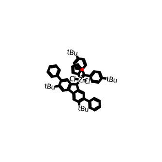 CC(C)(C)c1ccc([C](c2ccc(C(C)(C)C)cc2)=[Zr]([Cl])([Cl])([CH]2C=CC=C2)[CH]2c3cc(-c4ccccc4)c(C(C)(C)C)cc3-c3cc(C(C)(C)C)c(-c4ccccc4)cc32)cc1